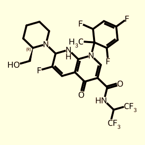 CC1(n2cc(C(=O)NC(C(F)(F)F)C(F)(F)F)c(=O)c3c2NC(N2CCCC[C@@H]2CO)C(F)=C3)C(F)=CC(F)=CC1F